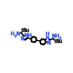 CC(C)(C)C(N)c1ncc(-c2ccc(-c3ccc4nc(C(N)C(C)(C)C)[nH]c4c3)cc2)[nH]1